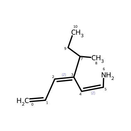 C=C/C=C(\C=C/N)C(C)CC